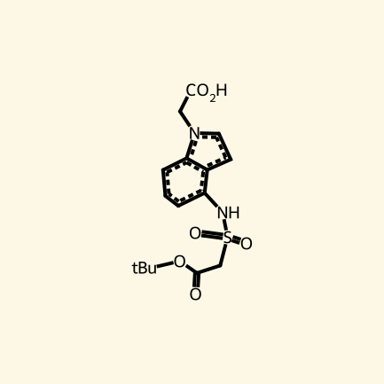 CC(C)(C)OC(=O)CS(=O)(=O)Nc1cccc2c1ccn2CC(=O)O